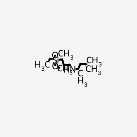 CC[Si](CCCNC(C)CC(C)C)(OC)OC